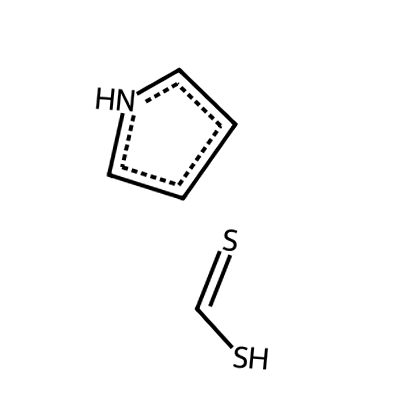 S=CS.c1cc[nH]c1